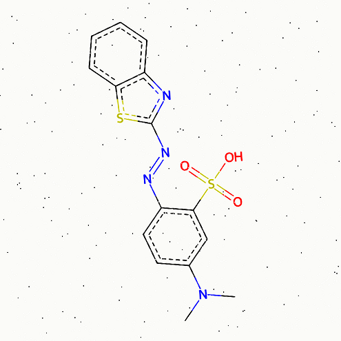 CN(C)c1ccc(/N=N/c2nc3ccccc3s2)c(S(=O)(=O)O)c1